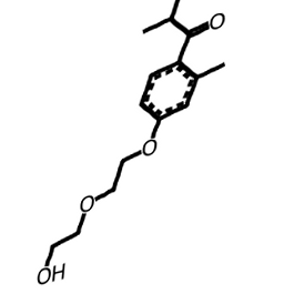 Cc1cc(OCCOCCO)ccc1C(=O)C(C)C